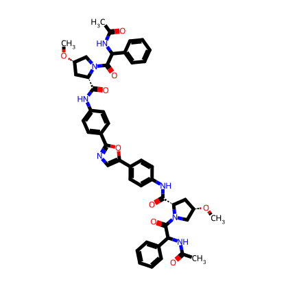 CO[C@H]1C[C@@H](C(=O)Nc2ccc(-c3cnc(-c4ccc(NC(=O)[C@@H]5C[C@H](OC)CN5C(=O)C(NC(C)=O)c5ccccc5)cc4)o3)cc2)N(C(=O)C(NC(C)=O)c2ccccc2)C1